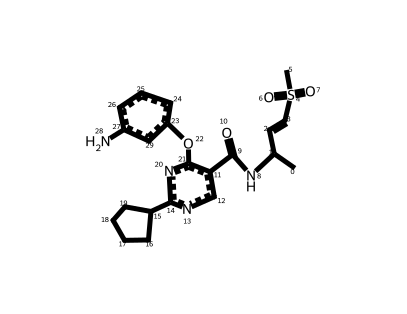 CC(C=CS(C)(=O)=O)NC(=O)c1cnc(C2CCCC2)nc1Oc1cccc(N)c1